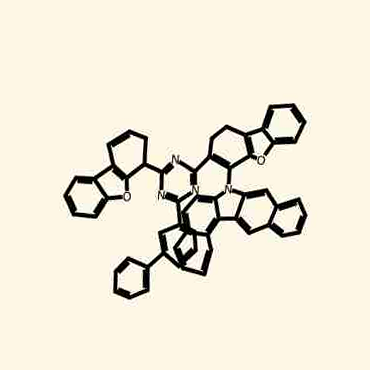 C1=Cc2c(oc3ccccc23)C(c2nc(C3=C(n4c5cc6ccccc6cc5c5c6ccccc6ccc54)c4oc5ccccc5c4CC3)nc(-c3cccc(-c4ccccc4)c3)n2)C1